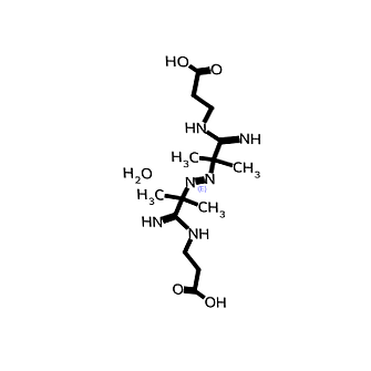 CC(C)(/N=N/C(C)(C)C(=N)NCCC(=O)O)C(=N)NCCC(=O)O.O